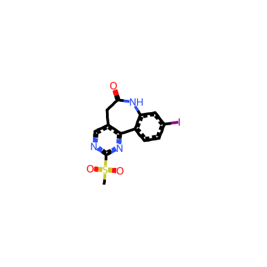 CS(=O)(=O)c1ncc2c(n1)-c1ccc(I)cc1NC(=O)C2